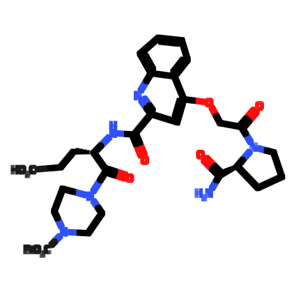 CCOC(=O)N1CCN(C(=O)[C@H](CCC(=O)O)NC(=O)c2cc(OCC(=O)N3CCC[C@H]3C(N)=O)c3ccccc3n2)CC1